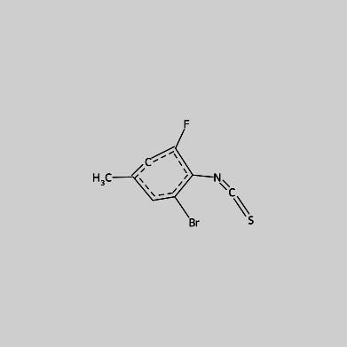 Cc1cc(F)c(N=C=S)c(Br)c1